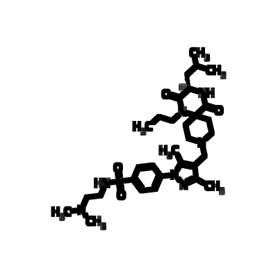 CCCN1C(=O)[C@H](CC(C)C)NC(=O)C12CCN(Cc1c(C)nn(-c3ccc(S(=O)(=O)NCCN(C)C)cc3)c1C)CC2